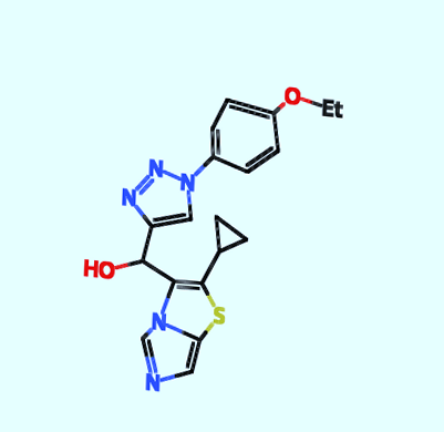 CCOc1ccc(-n2cc(C(O)c3c(C4CC4)sc4cncn34)nn2)cc1